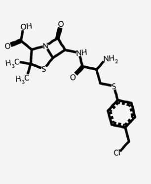 CC1(C)SC2C(NC(=O)C(N)CSc3ccc(CCl)cc3)C(=O)N2C1C(=O)O